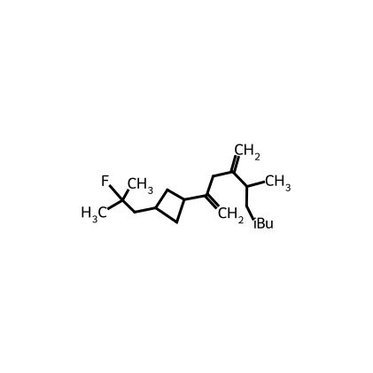 C=C(CC(=C)C1CC(CC(C)(C)F)C1)C(C)CC(C)CC